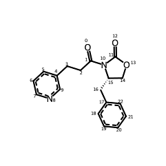 O=C(CCc1cccnc1)N1C(=O)OC[C@@H]1Cc1ccccc1